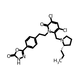 CCC[C@H]1CCCN1Cc1c(Cl)cc(Cl)c(=O)n1CCc1ccc(-c2n[nH]c(=O)o2)cc1